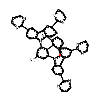 N#Cc1cc(-n2c3ccc(-c4ncccn4)cc3c3cc(-c4ncccn4)ccc32)c(-c2c(C#N)cccc2C(F)(F)F)c(-n2c3ccc(-c4ncccn4)cc3c3cc(-c4ncccn4)ccc32)c1